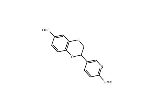 COc1ccc(C2COc3cc(C=O)ccc3O2)cn1